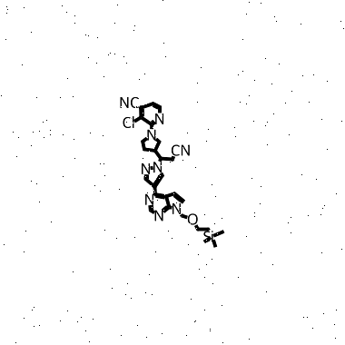 C[Si](C)(C)CCOCn1ccc2c(-c3cnn(C(CC#N)C4CCN(c5nccc(C#N)c5Cl)C4)c3)ncnc21